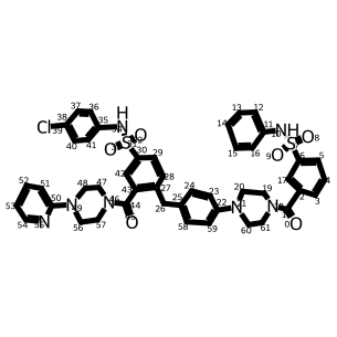 O=C(c1cccc(S(=O)(=O)Nc2ccccc2)c1)N1CCN(c2ccc(Cc3ccc(S(=O)(=O)Nc4ccc(Cl)cc4)cc3C(=O)N3CCN(c4ccccn4)CC3)cc2)CC1